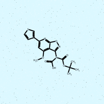 COc1cc(-c2ccsc2)nc2onc(N(C(=O)O)C(=O)OC(C)(C)C)c12